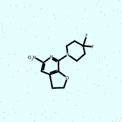 O=[N+]([O-])c1cc2c(c(N3CCC(F)(F)CC3)n1)OCC2